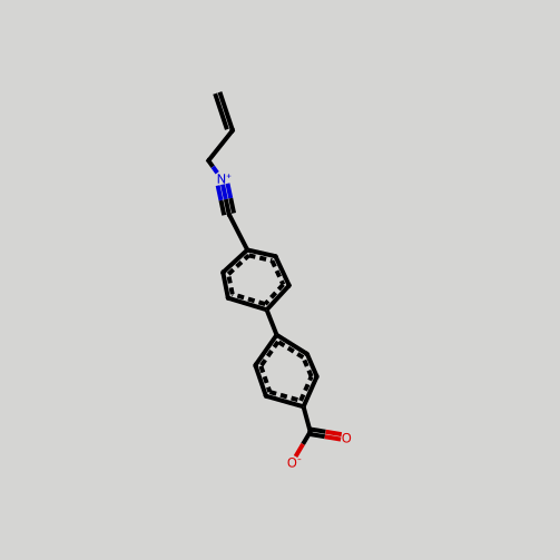 C=CC[N+]#Cc1ccc(-c2ccc(C(=O)[O-])cc2)cc1